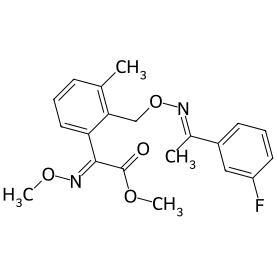 CO/N=C(/C(=O)OC)c1cccc(C)c1CO/N=C(\C)c1cccc(F)c1